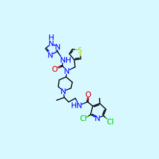 Cc1cc(Cl)nc(Cl)c1C(=O)NCCC(C)N1CCC(N(Cc2ccsc2)C(=O)Nc2nc[nH]n2)CC1